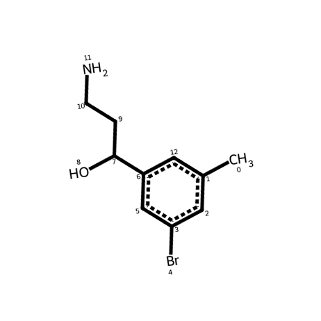 Cc1cc(Br)cc(C(O)CCN)c1